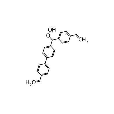 C=Cc1ccc(-c2ccc(C(OO)c3ccc(C=C)cc3)cc2)cc1